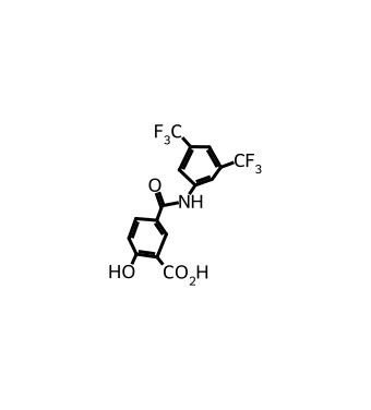 O=C(Nc1cc(C(F)(F)F)cc(C(F)(F)F)c1)c1ccc(O)c(C(=O)O)c1